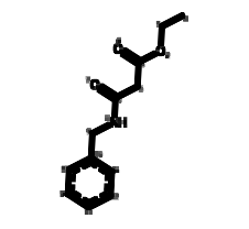 CCOC(=O)CC(=O)NCc1ccccc1